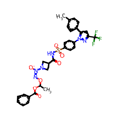 Cc1ccc(-c2cc(C(F)(F)F)nn2-c2ccc(S(=O)(=O)NC(=O)C3CN(/[N+]([O-])=N\OC(C)OC(=O)c4ccccc4)C3)cc2)cc1